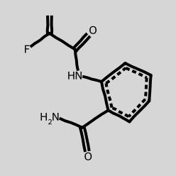 C=C(F)C(=O)Nc1ccccc1C(N)=O